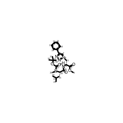 COC(=O)[C@@H](Cn1cc(-c2ccccc2)nn1)NC(=O)[C@H](CC(C)C)N(C)C(=O)OC(C)(C)C